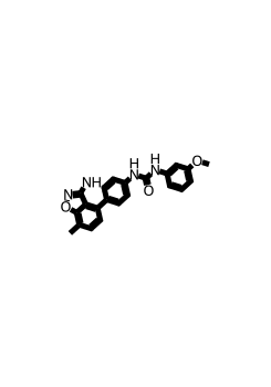 COc1cccc(NC(=O)Nc2ccc(-c3ccc(C)c4onc(N)c34)cc2)c1